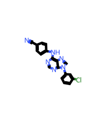 N#Cc1ccc(Nc2ncnc3c2ncn3-c2cccc(Cl)c2)cc1